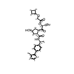 Cc1ncsc1-c1ccc([C@H](C)NC(=O)[C@H]2C[C@@H](O)CN2C(=O)[C@@H](OC(=O)COC2CCC2)C(C)(C)C)cc1